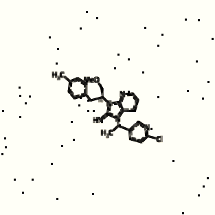 COC[C@H](Cc1ccc(C)cc1)n1c(=N)n(C(C)c2ccc(Cl)nc2)c2cccnc21